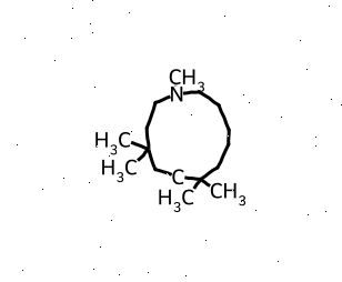 CN1CCCCCC(C)(C)CCC(C)(C)CC1